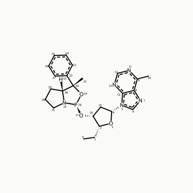 CC[C@H]1O[C@@H](n2cnc3c(C)ncnc32)C[C@H]1O[P@]1O[C@@](C)(c2ccccc2)[C@H]2CCCN21